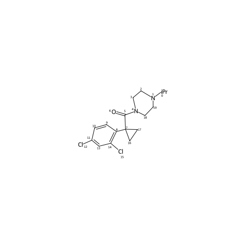 CC(C)N1CCN(C(=O)C2(c3ccc(Cl)cc3Cl)CC2)CC1